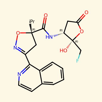 CC(C)[C@@]1(C(=O)N[C@@H]2CC(=O)O[C@@]2(O)CF)CC(c2nccc3ccccc23)=NO1